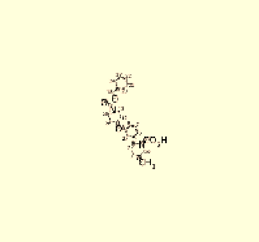 C[C@H]1CC[C@H](c2cccc(OC3CCN(C(=O)OCc4ccccc4)CC3)c2)N(C(=O)O)C1